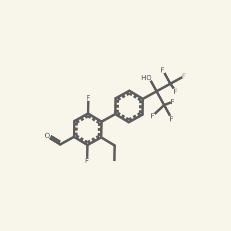 CCc1c(F)c(C=O)cc(F)c1-c1ccc(C(O)(C(F)(F)F)C(F)(F)F)cc1